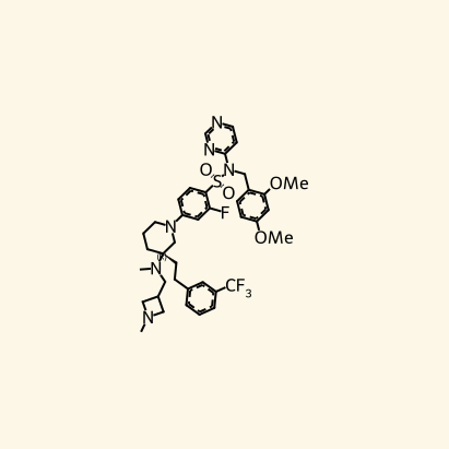 COc1ccc(CN(c2ccncn2)S(=O)(=O)c2ccc(N3CCC[C@@](CCc4cccc(C(F)(F)F)c4)(N(C)CC4CN(C)C4)C3)cc2F)c(OC)c1